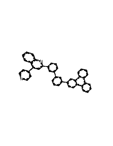 c1cc(-c2cccc(-c3cc(-c4ccncc4)c4ccccc4n3)c2)cc(-c2ccc3c4ccccc4c4ccccc4c3c2)c1